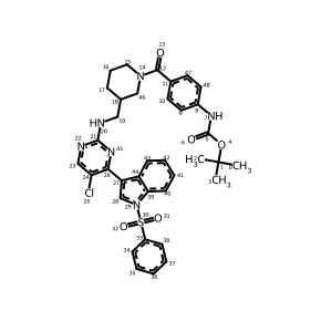 CC(C)(C)OC(=O)Nc1ccc(C(=O)N2CCCC(CNc3ncc(Cl)c(-c4cn(S(=O)(=O)c5ccccc5)c5ccccc45)n3)C2)cc1